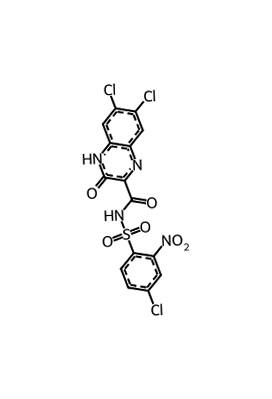 O=C(NS(=O)(=O)c1ccc(Cl)cc1[N+](=O)[O-])c1nc2cc(Cl)c(Cl)cc2[nH]c1=O